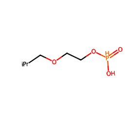 CC(C)COCCO[PH](=O)O